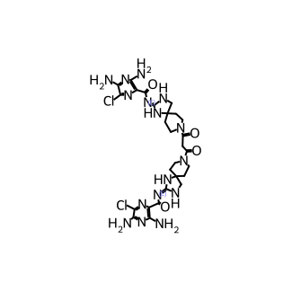 Nc1nc(N)c(C(=O)/N=C2\NCC3(CCN(C(=O)CC(=O)N4CCC5(CC4)CN/C(=N\C(=O)c4nc(Cl)c(N)nc4N)N5)CC3)N2)nc1Cl